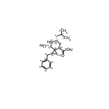 CC(C)C[C@@H]1CN(C(=O)O)C2(CN1)CC2Cc1ccccc1.Cl